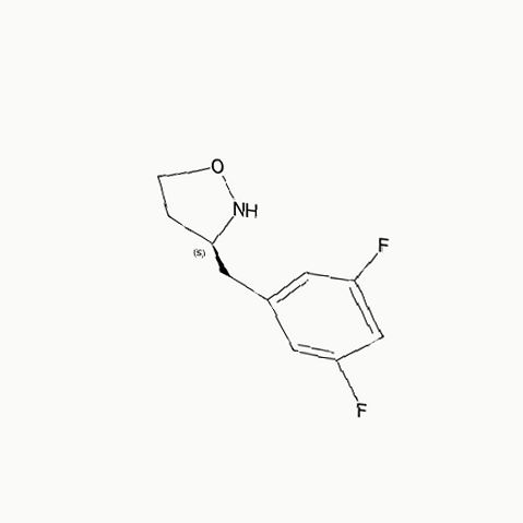 Fc1cc(F)cc(C[C@H]2CCON2)c1